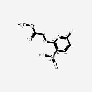 COC(=O)COc1nc(Cl)ccc1[N+](=O)[O-]